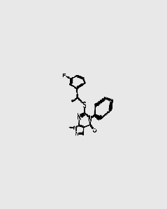 CC(Sc1nc2c(cnn2C)c(=O)n1-c1ccccc1)c1cccc(F)c1